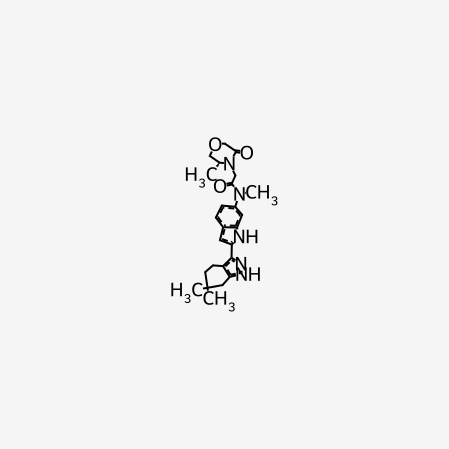 C[C@H]1COCC(=O)N1CC(=O)N(C)c1ccc2cc(-c3n[nH]c4c3CCC(C)(C)C4)[nH]c2c1